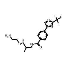 CC(CNC(=O)c1ccc(-c2noc(C(F)(F)F)n2)cc1)NOCCN